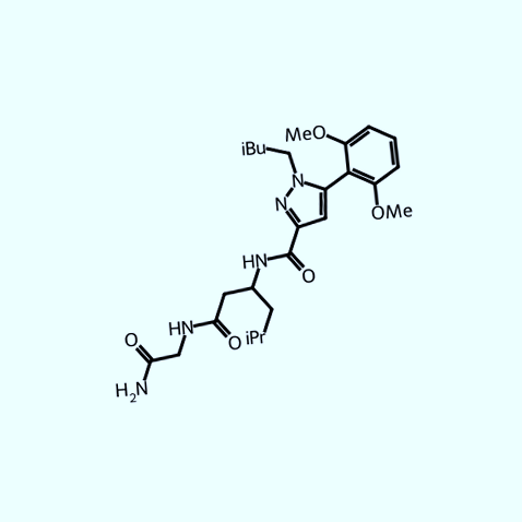 CCC(C)Cn1nc(C(=O)NC(CC(=O)NCC(N)=O)CC(C)C)cc1-c1c(OC)cccc1OC